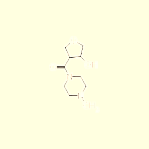 CN1CCN(C(=O)C2COCC2O)CC1